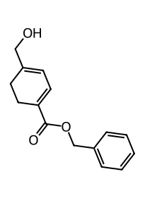 O=C(OCc1ccccc1)C1=CC=C(CO)CC1